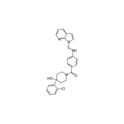 O=C(c1ccc(NSn2ccc3cccnc32)cc1)N1CCC(O)(c2ccccc2Cl)CC1